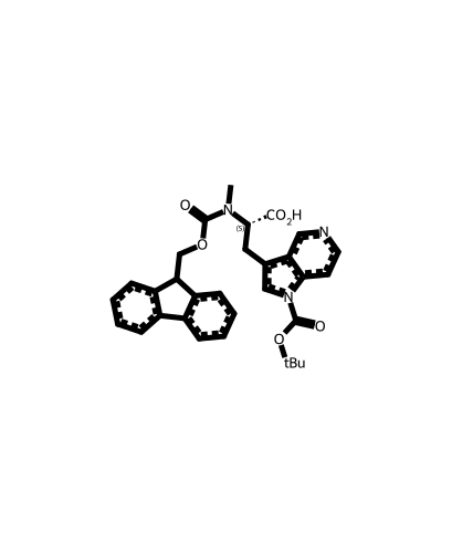 CN(C(=O)OCC1c2ccccc2-c2ccccc21)[C@@H](Cc1cn(C(=O)OC(C)(C)C)c2ccncc12)C(=O)O